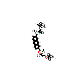 CCC(C)(C)OCCC(C)(CC)OCc1ccc2cc3ccc(COC(C)(CC)COC(C)(C)CC)cc3cc2c1